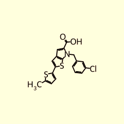 Cc1ccc(-c2cc3cc(C(=O)O)n(Cc4cccc(Cl)c4)c3s2)s1